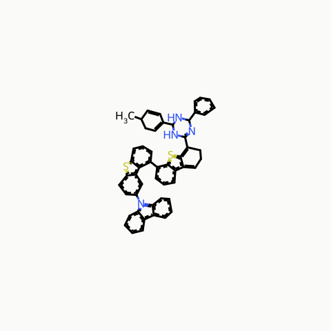 CC1C=CC(C2NC(C3=c4sc5c(-c6cccc7sc8ccc(-n9c%10ccccc%10c%10ccccc%109)cc8c67)cccc5c4=CCC3)=NC(c3ccccc3)N2)=CC1